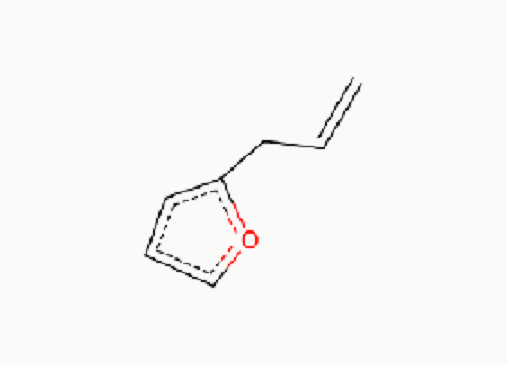 C=CCc1ccco1